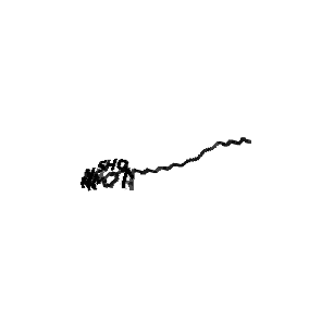 CCCCCCCCCCCCCCCCCCNC(=O)c1cccc(-n2nnnc2S)c1